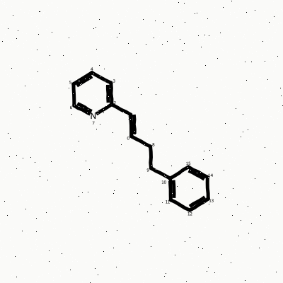 C(=Cc1ccccn1)CCc1ccccc1